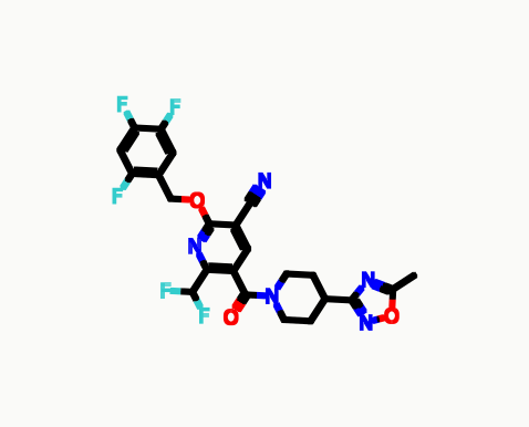 Cc1nc(C2CCN(C(=O)c3cc(C#N)c(OCc4cc(F)c(F)cc4F)nc3C(F)F)CC2)no1